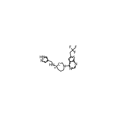 FC(F)(F)Cc1cc2c(N3CCC[C@@H](NCc4cn[nH]c4)CC3)ncnc2s1